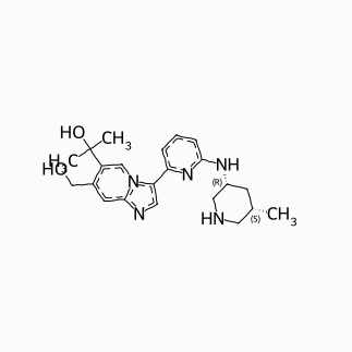 C[C@@H]1CNC[C@H](Nc2cccc(-c3cnc4cc(CO)c(C(C)(C)O)cn34)n2)C1